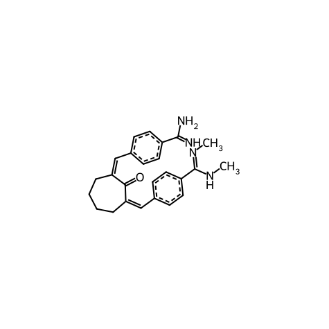 CN=C(NC)c1ccc(/C=C2/CCCC/C(=C/c3ccc(C(=N)N)cc3)C2=O)cc1